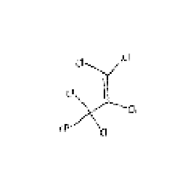 CCCC(Cl)(Cl)C(Cl)=C(Cl)Cl